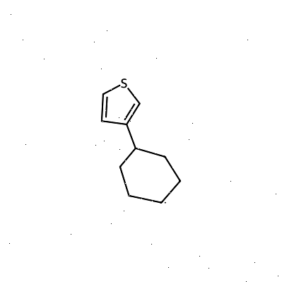 [CH]1CCC(c2ccsc2)CC1